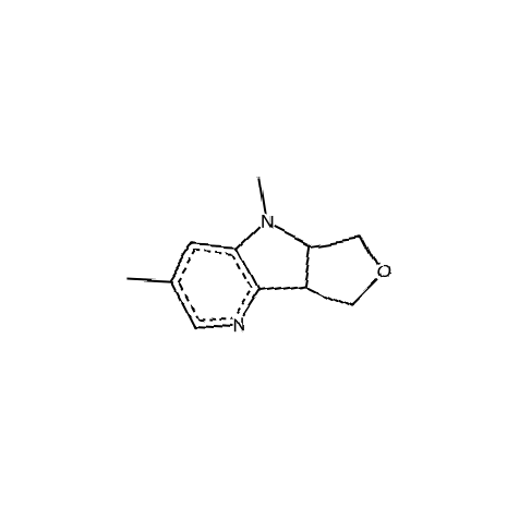 Cc1cnc2c(c1)N(C)C1COCC21